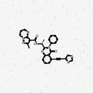 Cc1nn2cccnc2c1C(=O)N[C@@H](C)c1nc2cccc(C#Cc3cscn3)c2c(=O)n1-c1ccccc1